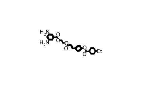 CCC1CCC(C(=O)Oc2ccc(/C=C/C(=O)OCCOC(=O)c3cc(N)cc(N)c3)cc2)CC1